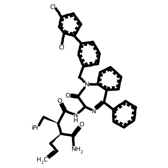 C=CC[C@H](C(N)=O)[C@@H](CC(C)C)C(=O)NC1N=C(c2ccccc2)c2ccccc2N(Cc2cccc(-c3ccc(Cl)cc3Cl)c2)C1=O